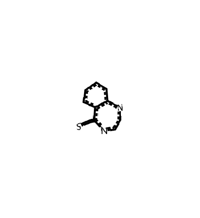 S=c1nccnc2ccccc12